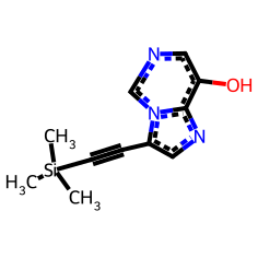 C[Si](C)(C)C#Cc1cnc2c(O)cncn12